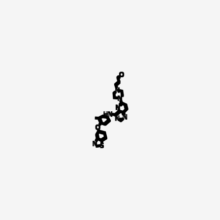 Cc1cc(Nc2ncnc3ccc(N4CCN(C=CC=O)CC4)nc23)ccc1Oc1ccc2scnc2c1